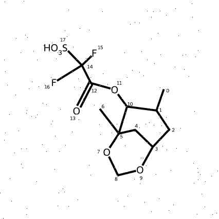 CC1CC2CC(C)(OCO2)C1OC(=O)C(F)(F)S(=O)(=O)O